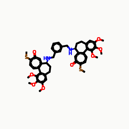 COc1cc2c(c(OC)c1OC)-c1ccc(SC)c(=O)cc1[C@@H](NCc1cccc(CN[C@H]3CCc4cc(OC)c(OC)c(OC)c4-c4ccc(SC)c(=O)cc43)c1)CC2